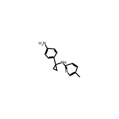 Cc1ccc(NC2(c3ccc(N)cc3)CC2)nc1